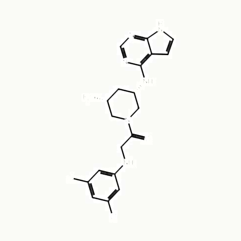 O=C(CNc1cc(Cl)cc(Cl)c1)N1C[C@@H](Nc2ncnc3[nH]ccc23)C[C@@H](C(F)(F)F)C1